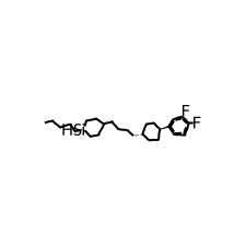 CCCCC[SiH]1CCC(CCCC[C@H]2CC[C@H](c3ccc(F)c(F)c3)CC2)CC1